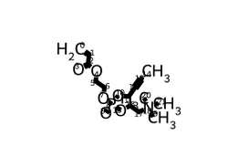 C=CC(=O)OCCOP(=O)(OCC#CC)OCC[N+](C)(C)C